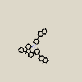 CC1(c2ccccc2)c2ccccc2-c2c(N(c3ccc(-c4ccc5ccccc5c4)cc3)c3ccc(-c4ccc5ccccc5c4)cc3)cccc21